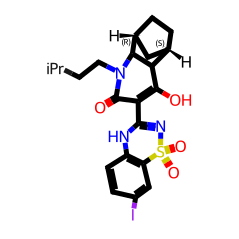 CC(C)CCN1C(=O)C(C2=NS(=O)(=O)c3cc(I)ccc3N2)=C(O)C2C1[C@@H]1CC[C@H]2C1